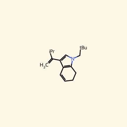 C=C(c1cn(CC(C)(C)C)c2c1C=CCC2)C(C)C